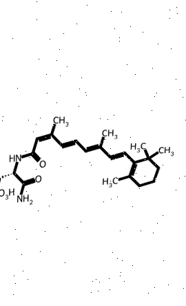 CC1=C(/C=C/C(C)=C/C=C/C(C)=C\C(=O)N[C@@H](CS(=O)(=O)O)C(N)=O)C(C)(C)CCC1